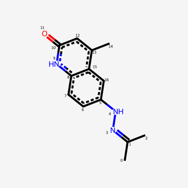 CC(C)=NNc1ccc2[nH]c(=O)cc(C)c2c1